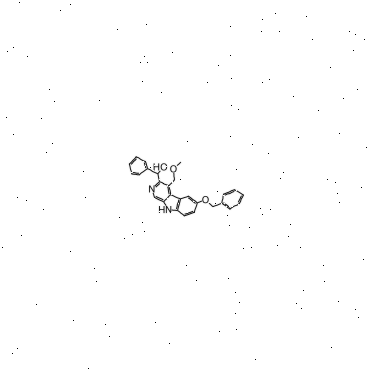 COCc1c(C(O)c2ccccc2)ncc2[nH]c3ccc(OCc4ccccc4)cc3c12